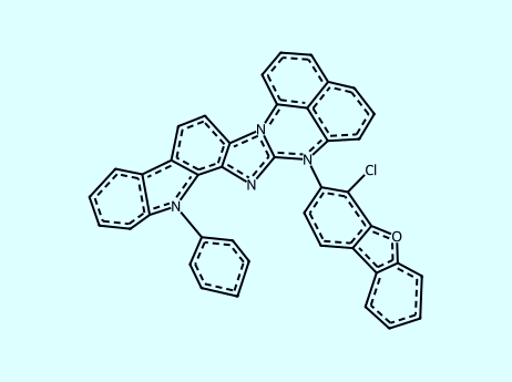 Clc1c(-n2c3cccc4cccc(c43)n3c4ccc5c6ccccc6n(-c6ccccc6)c5c4nc23)ccc2c1oc1ccccc12